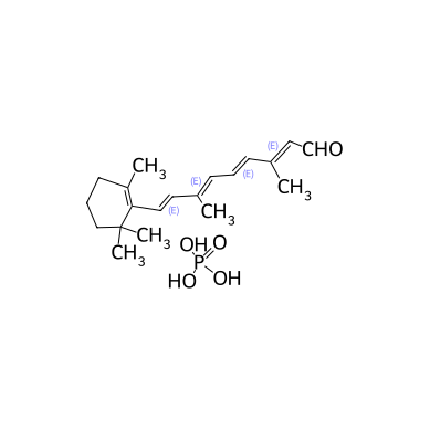 CC1=C(/C=C/C(C)=C/C=C/C(C)=C/C=O)C(C)(C)CCC1.O=P(O)(O)O